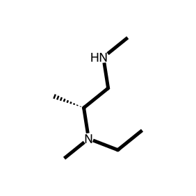 CCN(C)[C@H](C)CNC